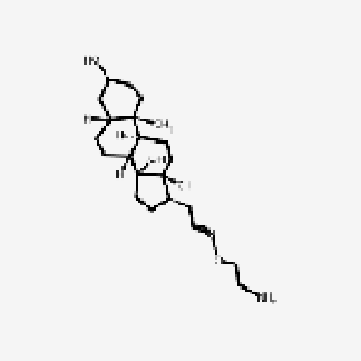 C[C@]12CC[C@H](O)C[C@H]1CC[C@@H]1[C@@H]2CC[C@]2(C)[C@@H](C/C=N/OCCN)CC[C@]12O